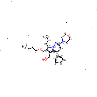 CCCCOCc1c(CO)c2c(-c3ccccc3)cc(N3CCOCC3)nn2c1CCC